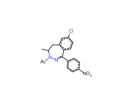 CC(=O)N1N=C(c2ccc([N+](=O)[O-])cc2)c2ccc(Cl)cc2CC1C